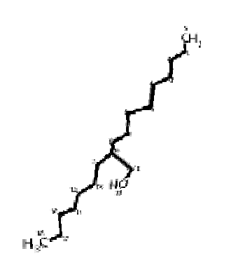 CCCCCCCCCC(CO)CCCCCCC